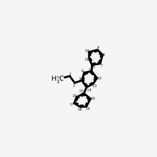 CCCc1cc(-c2ccccc2)ccc1-c1ccccc1